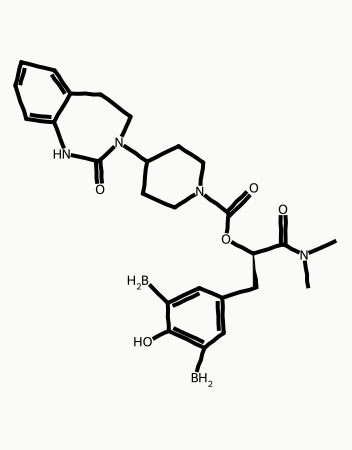 Bc1cc(C[C@@H](OC(=O)N2CCC(N3CCc4ccccc4NC3=O)CC2)C(=O)N(C)C)cc(B)c1O